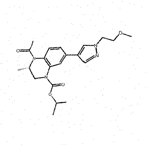 COCCn1cc(-c2ccc3c(c2)N(C(=O)OC(C)C)C[C@H](C)N3C(C)=O)cn1